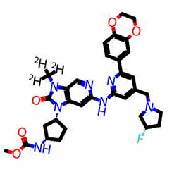 [2H]C([2H])([2H])n1c(=O)n([C@@H]2CC[C@@H](NC(=O)OC)C2)c2cc(Nc3cc(CN4CC[C@H](F)C4)cc(-c4ccc5c(c4)OCCO5)n3)ncc21